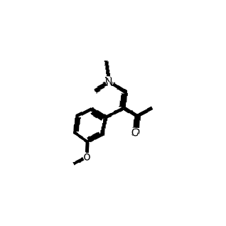 COc1cccc(/C(=C\N(C)C)C(C)=O)c1